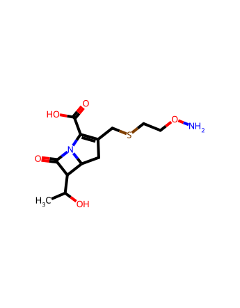 CC(O)C1C(=O)N2C(C(=O)O)=C(CSCCON)CC12